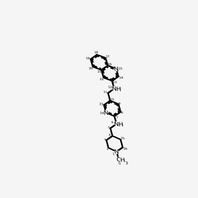 CN1CCC(CNc2ccc(CNc3cnc4ccccc4c3)cn2)CC1